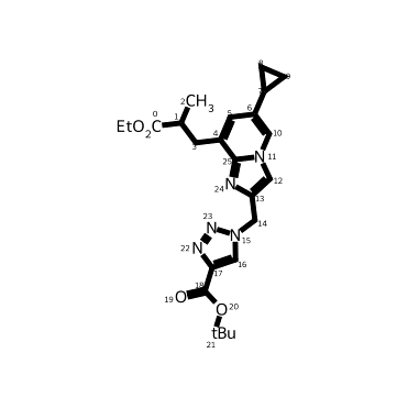 CCOC(=O)C(C)Cc1cc(C2CC2)cn2cc(Cn3cc(C(=O)OC(C)(C)C)nn3)nc12